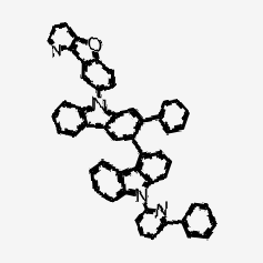 c1ccc(-c2cccc(-n3c4ccccc4c4c(-c5cc6c7ccccc7n(-c7ccc8oc9cccnc9c8c7)c6cc5-c5ccccc5)cccc43)n2)cc1